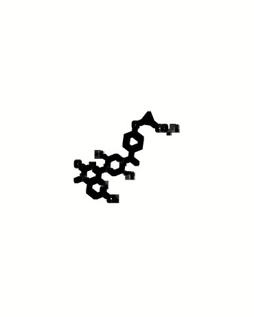 CCOC(=O)C1CC1Oc1ccc(C(C)N2C[C@H](CC)N(c3nc(=O)n(C)c4ccc(C#N)nc34)C[C@H]2CC)cc1